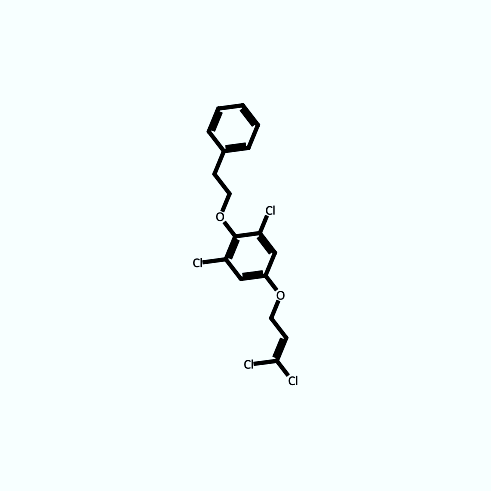 ClC(Cl)=CCOc1cc(Cl)c(OCCc2ccccc2)c(Cl)c1